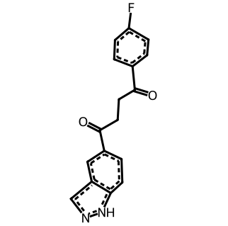 O=C(CCC(=O)c1ccc2[nH]ncc2c1)c1ccc(F)cc1